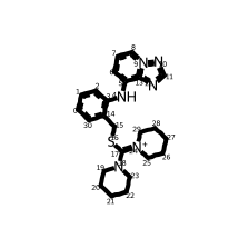 c1ccc(Nc2cccn3ncnc23)c(CSC(N2CCCCC2)=[N+]2CCCCC2)c1